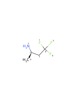 C[C@@H](N)CC(F)(F)F